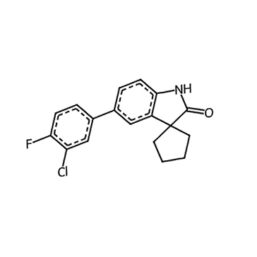 O=C1Nc2ccc(-c3ccc(F)c(Cl)c3)cc2C12CCCC2